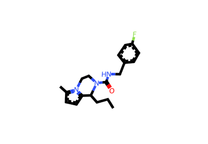 CCCC1c2ccc(C)n2CCN1C(=O)NCc1ccc(F)cc1